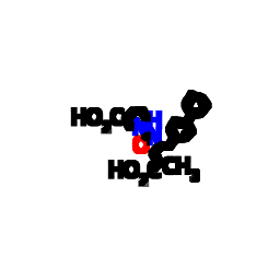 C[C@H](CC(Cc1ccc(-c2ccccc2)cc1)NC(=O)N1CCCC(C(=O)O)C1)C(=O)O